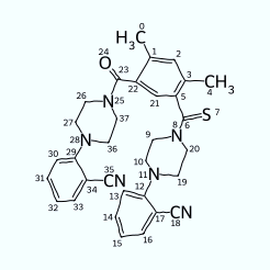 Cc1cc(C)c(C(=S)N2CCN(c3ccccc3C#N)CC2)cc1C(=O)N1CCN(c2ccccc2C#N)CC1